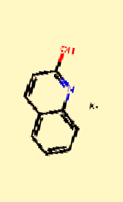 Oc1ccc2ccccc2n1.[K]